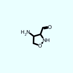 NC1CONC1C=O